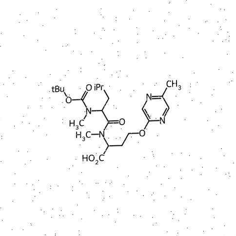 Cc1cnc(OCCC(C(=O)O)N(C)C(=O)C(CC(C)C)N(C)C(=O)OC(C)(C)C)cn1